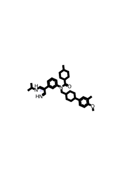 COc1ccc(C2CCC(CN(C(=O)C3CCC(C)CC3)c3cccc(/C(C=N)=C/NC(C)C)c3)CC2)cc1C